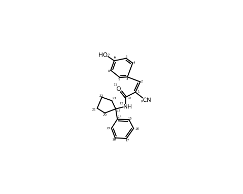 N#CC(=Cc1ccc(O)cc1)C(=O)NC1(c2ccccc2)CCCC1